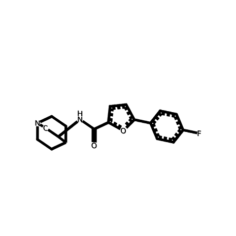 O=C(NC1CN2CCC1CC2)c1ccc(-c2ccc(F)cc2)o1